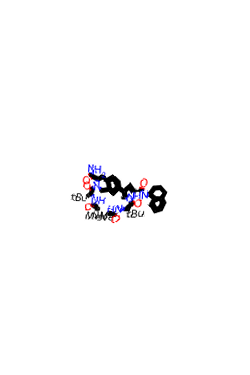 CNCC(=O)NC(C(=O)N1Cc2cc(C3C[C@@H](C(=O)NC4CCCc5ccccc54)N(C(=O)[C@@H](NC(=O)CNC)C(C)(C)C)C3)ccc2CC1C(N)=O)C(C)(C)C